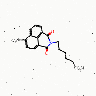 O=C(O)CCCCCN1C(=O)c2cccc3c([N+](=O)[O-])ccc(c23)C1=O